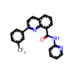 O=C(Nc1ccccn1)c1cccc2ccc(-c3cccc(C(F)(F)F)c3)nc12